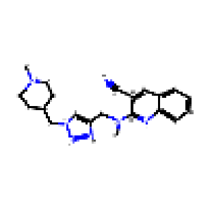 CN1CCC(Cn2cc(CN(C)c3nc4ccccc4cc3C#N)nn2)CC1